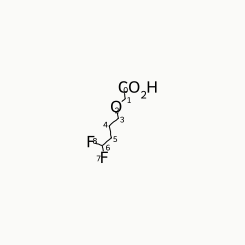 O=C(O)COCCCC(F)F